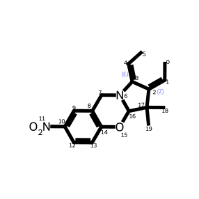 C/C=C1\C(=C/C)N2Cc3cc([N+](=O)[O-])ccc3OC2C1(C)C